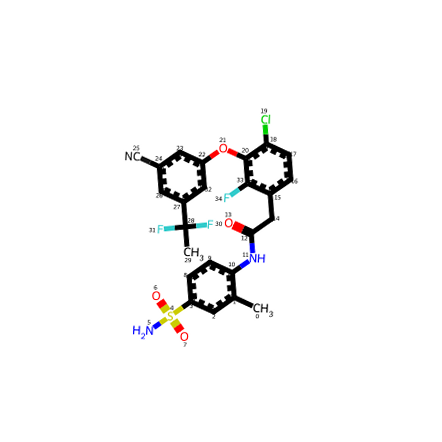 Cc1cc(S(N)(=O)=O)ccc1NC(=O)Cc1ccc(Cl)c(Oc2cc(C#N)cc(C(C)(F)F)c2)c1F